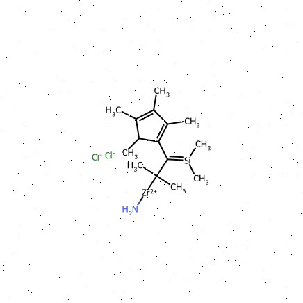 CC1=C(C)C(C)C(C(=[Si](C)C)[C](C)(C)[Zr+2][NH2])=C1C.[Cl-].[Cl-]